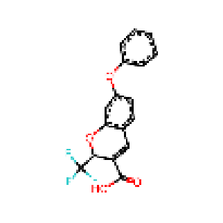 O=C(O)C1=Cc2ccc(Oc3ccccc3)cc2OC1C(F)(F)F